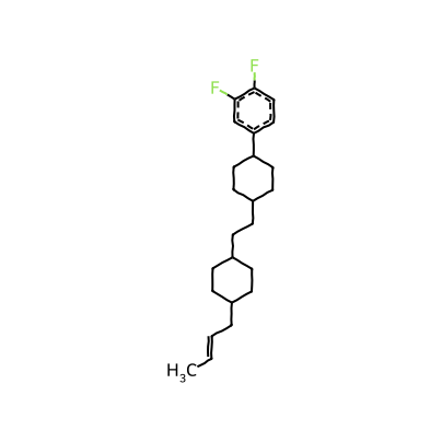 C/C=C/CC1CCC(CCC2CCC(c3ccc(F)c(F)c3)CC2)CC1